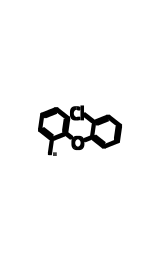 [CH2]c1ccccc1Oc1ccccc1Cl